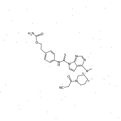 C[C@@H]1CCN(C(=O)CC#N)C[C@@H]1N(C)c1ncnc2c1ccn2C(=S)Nc1ccc(CCOC(N)=O)cc1